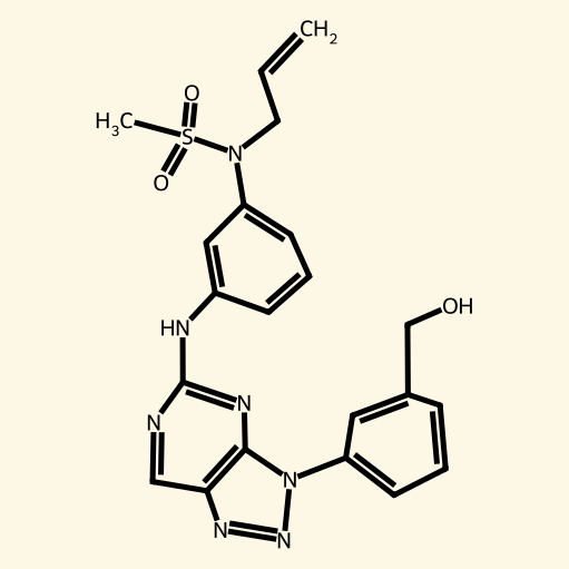 C=CCN(c1cccc(Nc2ncc3nnn(-c4cccc(CO)c4)c3n2)c1)S(C)(=O)=O